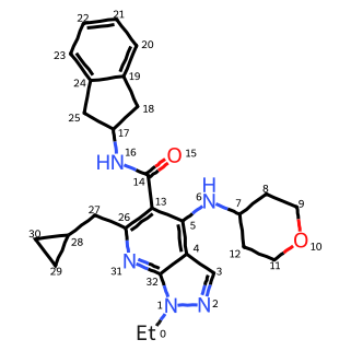 CCn1ncc2c(NC3CCOCC3)c(C(=O)NC3Cc4ccccc4C3)c(CC3CC3)nc21